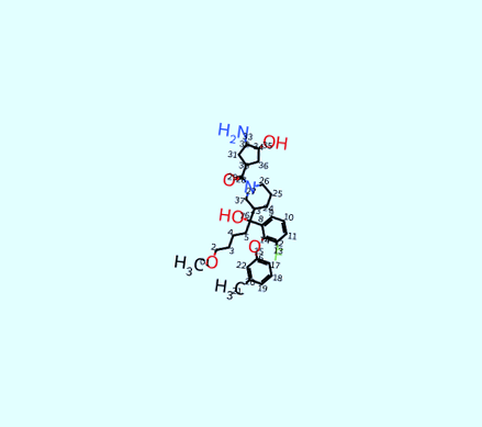 COCCCCC(O)(c1cccc(F)c1Oc1cccc(C)c1)C1CCCN(C(=O)C2CC(N)C(O)C2)C1